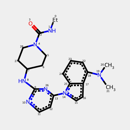 CCNC(=O)N1CCC(Nc2nccc(-n3ccc4c(N(C)C)cccc43)n2)CC1